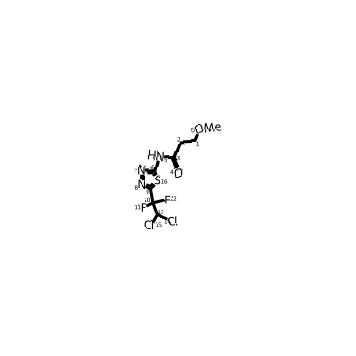 COCCC(=O)Nc1nnc(C(F)(F)C(Cl)Cl)s1